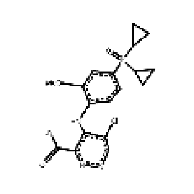 COc1cc(P(=O)(C2CC2)C2CC2)ccc1Nc1c(Cl)cnnc1C(N)=O